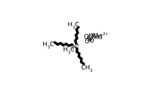 CCCCCCCC[N+](C)(CCCCCCCC)CCCCCCCC.[Mg+2].[Na+].[O-][Si]([O-])([O-])[O-]